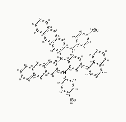 CC(C)(C)c1ccc(N2c3cc4cc5ccccc5cc4cc3B3c4cc5cc6ccccc6cc5cc4N(c4ccc(C(C)(C)C)cc4)c4cc(-c5ncnc6ccccc56)cc2c43)cc1